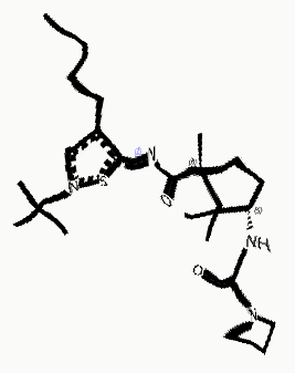 CCCCc1cn(C(C)(C)C)s/c1=N\C(=O)[C@]1(C)CC[C@H](NC(=O)N2CCC2)C1(C)C